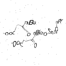 CCCCC(=O)CC(=O)[O-].CCCCC(=O)CC(=O)[O-].CCC[O][Sn+2][O]CCC